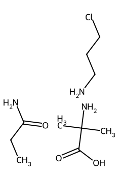 CC(C)(N)C(=O)O.CCC(N)=O.NCCCCl